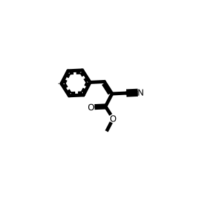 COC(=O)C(C#N)=Cc1cc[c]cc1